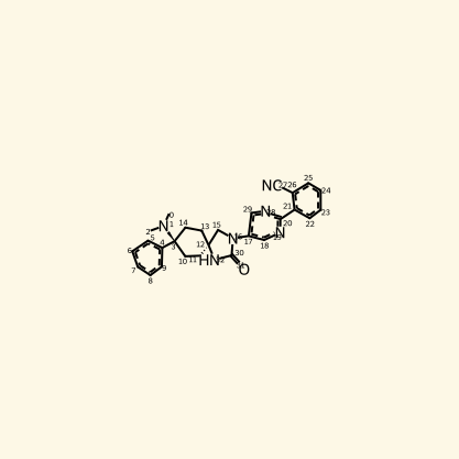 CN(C)[C@]1(c2ccccc2)CC[C@]2(CC1)CN(c1cnc(-c3ccccc3C#N)nc1)C(=O)N2